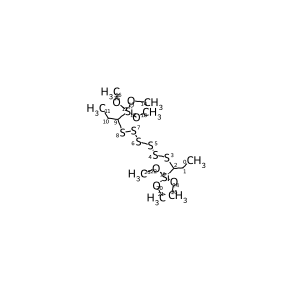 CCC(SSSSSSC(CC)[Si](OC)(OC)OC)[Si](OC)(OC)OC